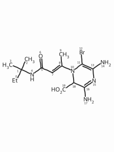 CCC(C)(C)NC(=O)C=C(C)N1C(Br)=C(N)N=C(N)C1C(=O)O